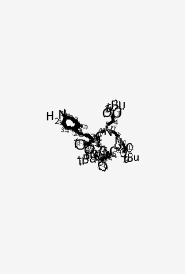 CC(C)(C)OC(=O)CCN1CCN(CC(=O)OC(C)(C)C)CCN(CC(=O)OC(C)(C)C)CCN(C(CCc2ccc(N)cc2)C(=O)OC(C)(C)C)CC1